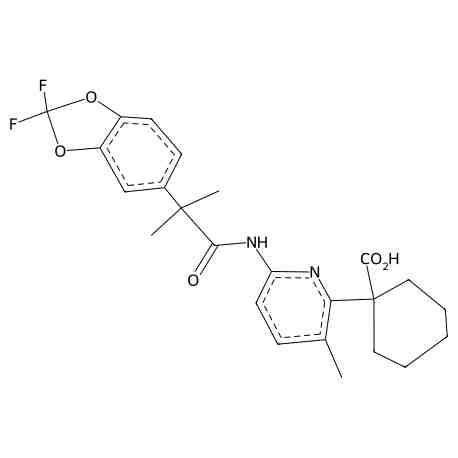 Cc1ccc(NC(=O)C(C)(C)c2ccc3c(c2)OC(F)(F)O3)nc1C1(C(=O)O)CCCCC1